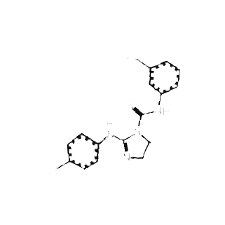 S=C(Nc1cccc(Cl)c1)N1CCN=C1Nc1ccc(Cl)cc1